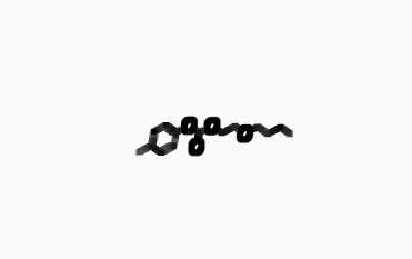 CCCCOCCOC(=O)Oc1ccc(C)cc1